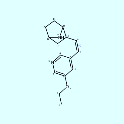 CCOc1cncc(/C=C\C2CC3CCC2N3)c1